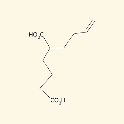 C=CCCC(CCCC(=O)O)C(=O)O